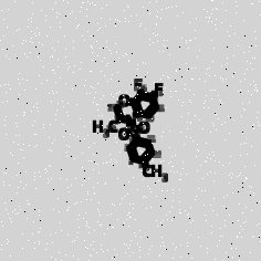 Cc1ccc(S(=O)(=O)N2c3ccc(F)c(F)c3OC[C@@H]2C)cc1